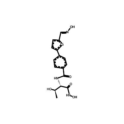 C[C@@H](O)[C@H](NC(=O)c1ccc(-c2ccc(C=NO)s2)cc1)C(=O)NO